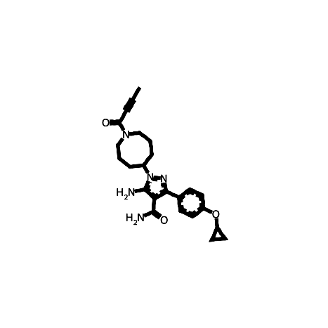 CC#CC(=O)N1CCCC(n2nc(-c3ccc(OC4CC4)cc3)c(C(N)=O)c2N)CCC1